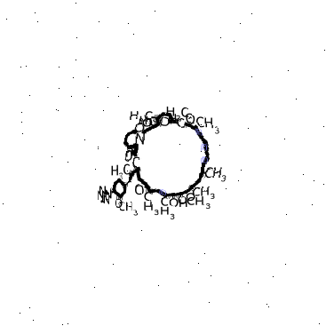 CO[C@H]1C[C@@H]2CC[C@@H](C)[C@@](O)(O2)C(=O)C(=O)N2CCCC[C@H]2C(=O)C[C@H]([C@H](C)C[C@@H]2CC[C@H](n3ncnn3)[C@H](OC)C2)CC(=O)[C@H](C)/C=C(\C)[C@@H](O)[C@@H](OC)C(=O)[C@H](C)C[C@H](C)/C=C/C=C/C=C/1C